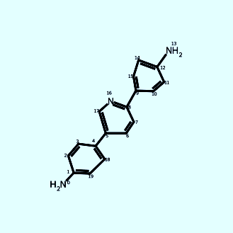 Nc1ccc(-c2ccc(-c3ccc(N)cc3)nc2)cc1